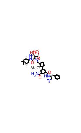 COc1c(CN2O[C@@H](CO)[C@H]([C@H](C)O)[C@H]2C(=O)N[C@H]2C[C@@H](C)C(C)(C)C[C@@H]2C)cccc1-c1cc(C(N)=O)cc(C(=O)N[C@@H](Cc2ccccc2)CN(C)C)c1